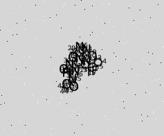 COc1cccc(F)c1-c1nc2c(cc1F)c1c(c(=O)n2-c2c(C)ncnc2C(C)C)N(C)C(=O)[C@H]2CN(C(=O)OC(C)(C)C)CCN12